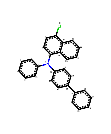 Clc1ccc(N(c2ccccc2)c2ccc(-c3ccccc3)cc2)c2ccccc12